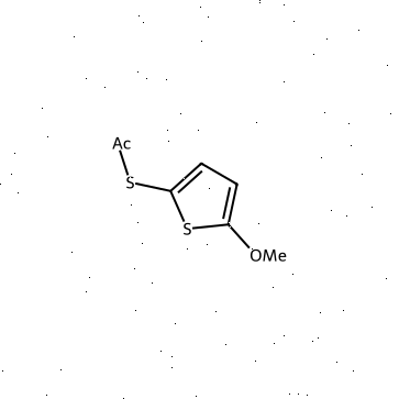 COc1ccc(SC(C)=O)s1